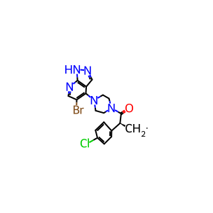 [CH2][C@H](C(=O)N1CCN(c2c(Br)cnc3[nH]ncc23)CC1)c1ccc(Cl)cc1